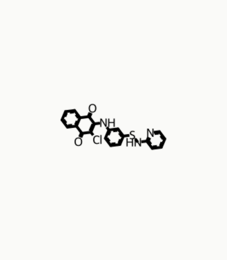 O=C1C(Cl)=C(Nc2cccc(SNc3ccccn3)c2)C(=O)c2ccccc21